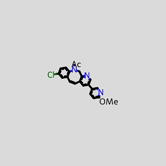 COc1ccc(-c2cnc3c(c2)C=Cc2cc(Cl)ccc2N(C(C)=O)C3)cn1